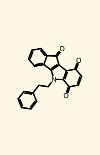 O=c1ccc(=O)c2c1c1c(=O)c3ccccc3c1n2CCc1ccccc1